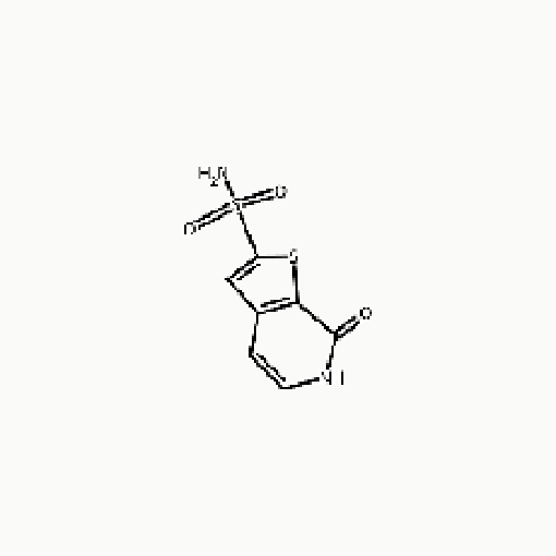 NS(=O)(=O)c1cc2cc[nH]c(=O)c2s1